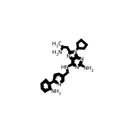 CC(N)Cc1nc2c(NCc3ccc(-c4ccccc4N)nc3)nc(N)nc2n1C1CCCC1